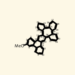 COc1ccc2c(c1)c1ccccc1c1cc3/c(cc21)=c1/cccc/c1=c1\cccc\c1=c1/cccc/c1=3